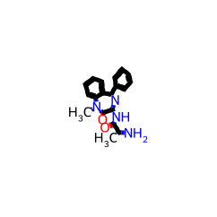 CC(N)C(=O)NC1N=C(c2ccccc2)c2ccccc2N(C)C1=O